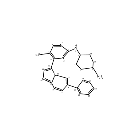 NC1CCC(Nc2ncc(F)c(-c3cnc4ccc(-c5ccccc5)cn34)n2)CC1